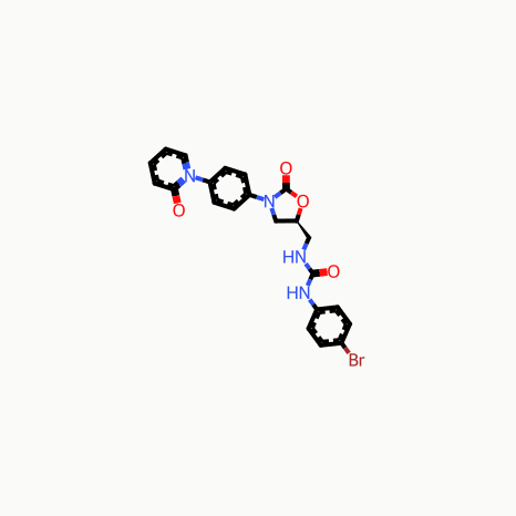 O=C(NC[C@H]1CN(c2ccc(-n3ccccc3=O)cc2)C(=O)O1)Nc1ccc(Br)cc1